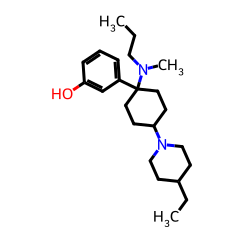 CCCN(C)C1(c2cccc(O)c2)CCC(N2CCC(CC)CC2)CC1